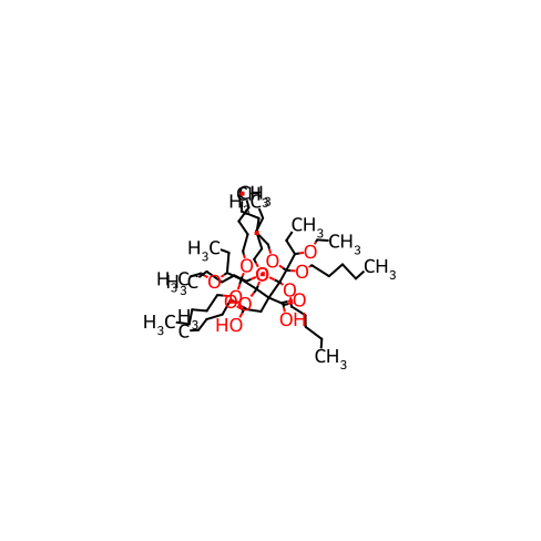 CCCCCOC(OCCCCC)(C(CC)OCC)C(OCCCCC)(OCCCCC)C(CC(=O)O)(C(=O)O)C(OCCCCC)(OCCCCC)C(OCCCCC)(OCCCCC)C(CC)OCC